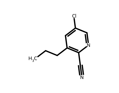 CCCc1cc(Cl)cnc1C#N